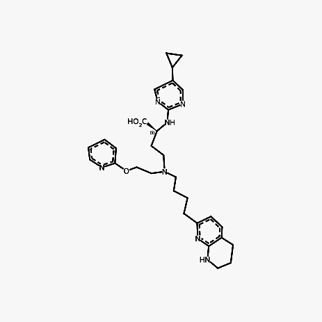 O=C(O)[C@H](CCN(CCCCc1ccc2c(n1)NCCC2)CCOc1ccccn1)Nc1ncc(C2CC2)cn1